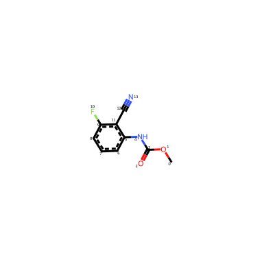 COC(=O)Nc1cccc(F)c1C#N